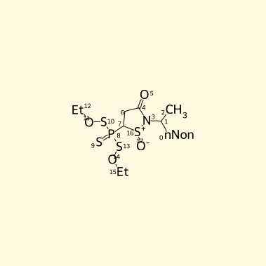 CCCCCCCCCC(C)N1C(=O)CC(P(=S)(SOCC)SOCC)[S+]1[O-]